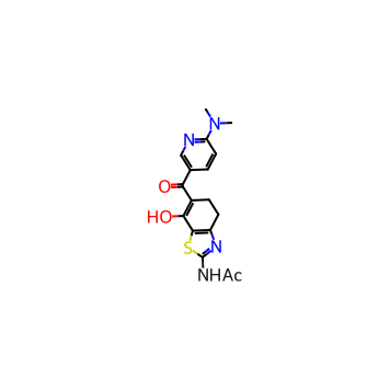 CC(=O)Nc1nc2c(s1)C(O)=C(C(=O)c1ccc(N(C)C)nc1)CC2